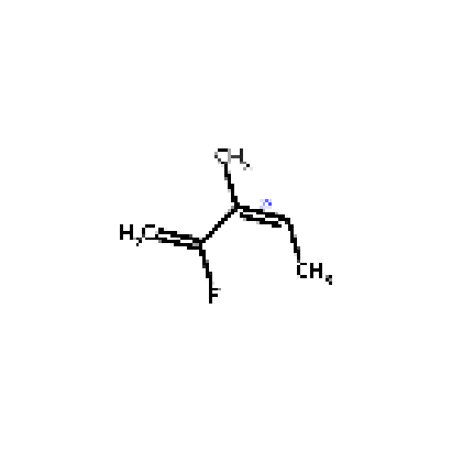 C=C(F)/C(C)=C\C